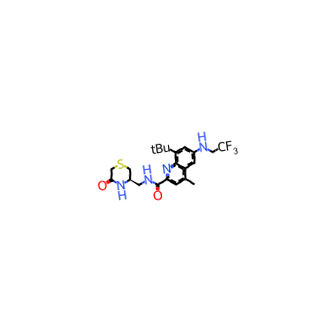 Cc1cc(C(=O)NC[C@@H]2CSCC(=O)N2)nc2c(C(C)(C)C)cc(NCC(F)(F)F)cc12